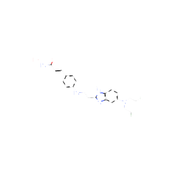 Cn1c(CCNc2ccc(/C=C/C(=O)NO)cc2)nc2cc(N(CCCl)CCCl)ccc21